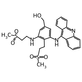 CS(=O)(=O)CCNc1cc(CO)cc(Nc2c3ccccc3nc3ccccc23)c1CCS(C)(=O)=O